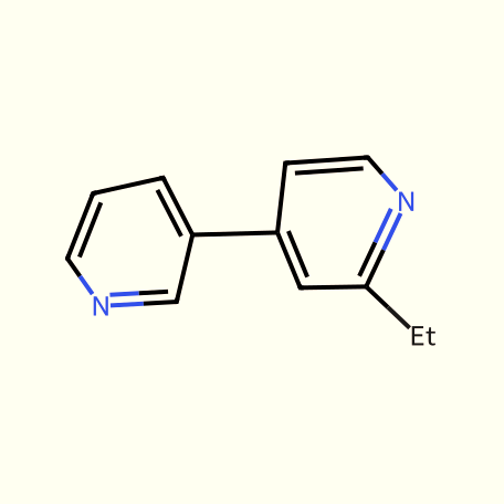 CCc1cc(-c2cccnc2)ccn1